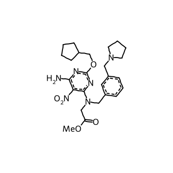 COC(=O)CN(Cc1cccc(CN2CCCC2)c1)c1nc(OCC2CCCC2)nc(N)c1[N+](=O)[O-]